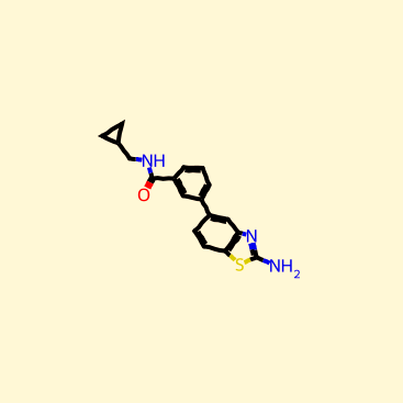 Nc1nc2cc(-c3cccc(C(=O)NCC4CC4)c3)ccc2s1